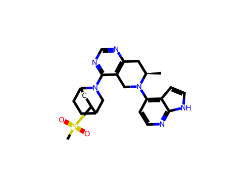 C[C@@H]1Cc2ncnc(N3CC4CCC3CC4S(C)(=O)=O)c2CN1c1ccnc2[nH]ccc12